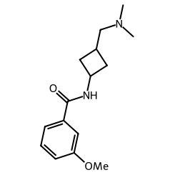 COc1cccc(C(=O)NC2CC(CN(C)C)C2)c1